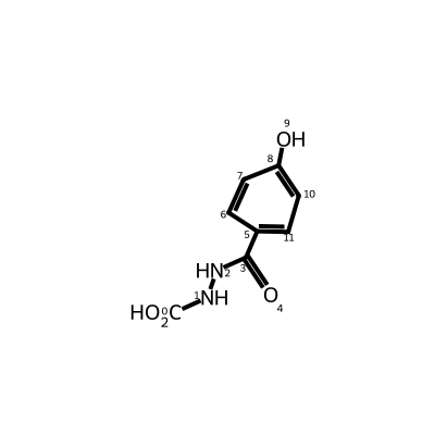 O=C(O)NNC(=O)c1ccc(O)cc1